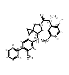 COc1cc([C@@H](C)C(=O)N2C[C@@H](Nc3ccc(-c4ncccn4)c(C)n3)C3(CC3)C2)c(Cl)cn1